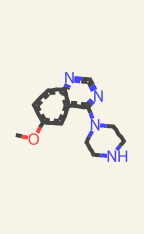 COc1ccc2ncnc(N3CCNCC3)c2c1